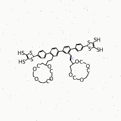 SC1=C(S)SC(c2ccc(-c3ccc(-c4ccc(-c5ccc(C6SC(S)=C(S)S6)cc5)c(CCC5CCOCCOCCCOCCO5)c4)cc3/C=C/C3CCOCCOCCCOCCO3)cc2)S1